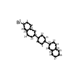 Brc1ccc2cc(-c3ccc(-c4ccc5ccccc5c4)cc3)ccc2c1